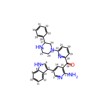 Nc1ncc(-c2c[nH]c3ccccc23)cc1C(=O)c1cccc(N2CCNC(c3ccccc3)C2)n1